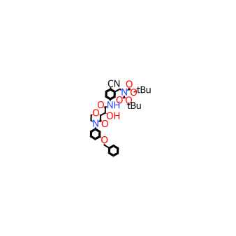 CC(C)(C)OC(=O)N(Cc1cc(NC(=O)[C@H](O)[C@H]2OCCN(c3cccc(OCc4ccccc4)c3)C2=O)ccc1C#N)C(=O)OC(C)(C)C